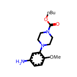 CCCCOC(=O)N1CCN(c2cc(N)ccc2OC)CC1